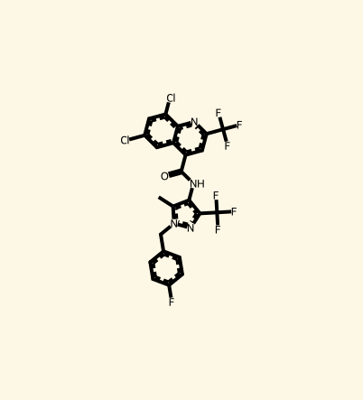 Cc1c(NC(=O)c2cc(C(F)(F)F)nc3c(Cl)cc(Cl)cc23)c(C(F)(F)F)nn1Cc1ccc(F)cc1